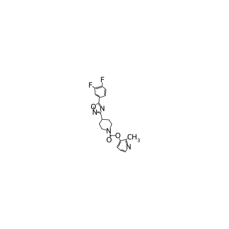 Cc1ncccc1OC(=O)N1CCC(c2noc(-c3ccc(F)c(F)c3)n2)CC1